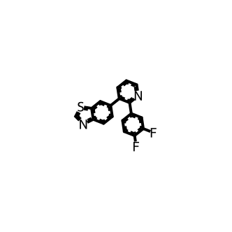 Fc1ccc(-c2ncccc2-c2ccc3ncsc3c2)cc1F